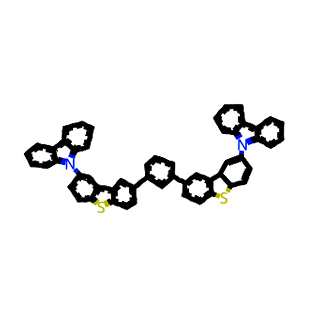 C1=CC2Sc3ccc(-c4cccc(-c5ccc6sc7ccc(-n8c9ccccc9c9ccccc98)cc7c6c5)c4)cc3C2C=C1n1c2ccccc2c2ccccc21